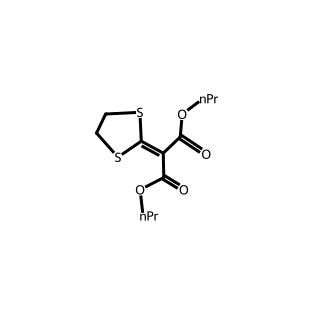 CCCOC(=O)C(C(=O)OCCC)=C1SCCS1